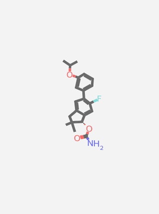 CC(C)Oc1cccc(-c2cc3c(cc2F)[C@H](OC(N)=O)C(C)(C)C3)c1